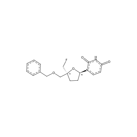 O=c1ccn([C@H]2CC[C@@](CF)(COCc3ccccc3)O2)c(=O)[nH]1